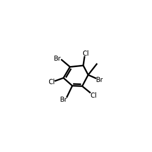 CC1(Br)C(Cl)=C(Br)C(Cl)=C(Br)C1Cl